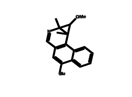 COC1C2(C)N=Cc3cc(C(C)(C)C)c4ccccc4c3C12C